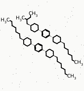 CCCCCCC[C@H]1CC[C@H](c2ccc([C@H]3CC[C@H](CC(C)CC)CC3)cc2)CC1.CCCCCCC[C@H]1CC[C@H](c2ccc([C@H]3CC[C@H](CCCCCCC)CC3)cc2)CC1